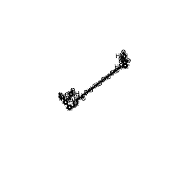 CN1CCN(c2ccc(-c3cccc(CN4CCN(CCNC(=O)CCOCCOCCOCCOCCOCCOCCOCCOCCNc5cccc6c5C(=O)N(C5CCC(=O)NC5=O)C6=O)CC4)c3)cc2NC(=O)c2c[nH]c(=O)cc2C(F)(F)F)CC1